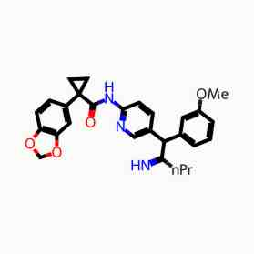 CCCC(=N)C(c1ccc(NC(=O)C2(c3ccc4c(c3)OCO4)CC2)nc1)c1cccc(OC)c1